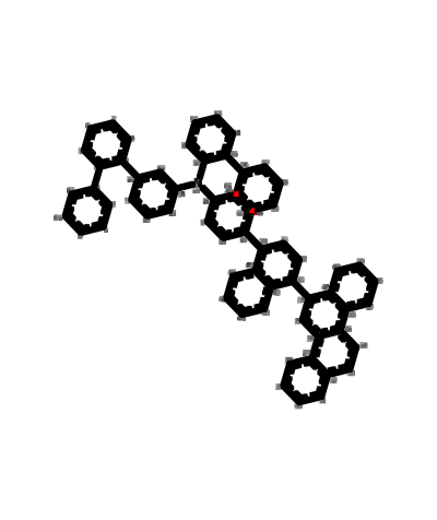 c1ccc(-c2ccccc2-c2cccc(N(c3ccc(-c4ccc(-c5cc6c7ccccc7ccc6c6ccccc56)c5ccccc45)cc3)c3ccccc3-c3ccccc3)c2)cc1